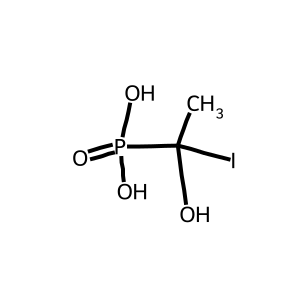 CC(O)(I)P(=O)(O)O